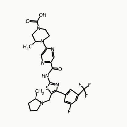 C[C@@H]1CCCN1Cc1sc(NC(=O)c2cnc(N3CCN(C(=O)O)C[C@@H]3C)cn2)nc1-c1cc(F)cc(C(F)(F)F)c1